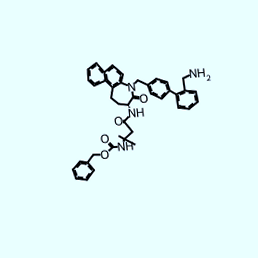 CC(C)(CC(=O)N[C@@H]1CCc2c(ccc3ccccc23)N(Cc2ccc(-c3ccccc3CN)cc2)C1=O)NC(=O)OCc1ccccc1